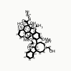 CCC[C@H]1C[C@](C(=O)OC)(c2cc3c(cc2OC)N(C)[C@H]2[C@@](O)(C(=O)N=[N+]=[N-])[C@H](O)[C@]4(CC)C=CCN5CC[C@]32[C@@H]54)c2[nH]c3ccccc3c2CCN1CO